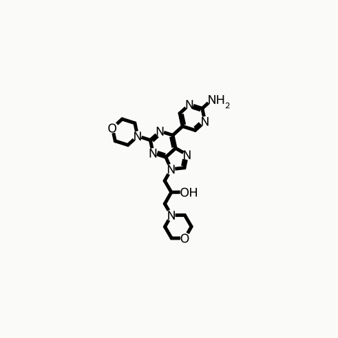 Nc1ncc(-c2nc(N3CCOCC3)nc3c2ncn3CC(O)CN2CCOCC2)cn1